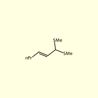 CCCC=CC(SC)SC